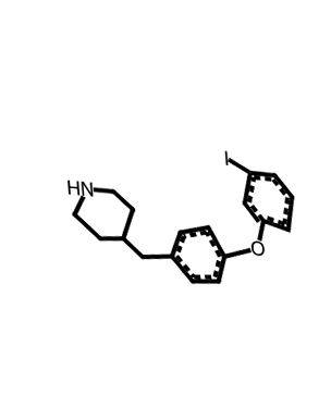 Ic1cccc(Oc2ccc(CC3CCNCC3)cc2)c1